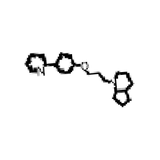 c1ccc(-c2ccc(OCCCN3CCCC4CCCC43)cc2)nc1